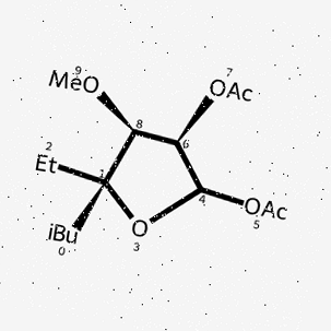 CCC(C)[C@]1(CC)OC(OC(C)=O)[C@H](OC(C)=O)[C@@H]1OC